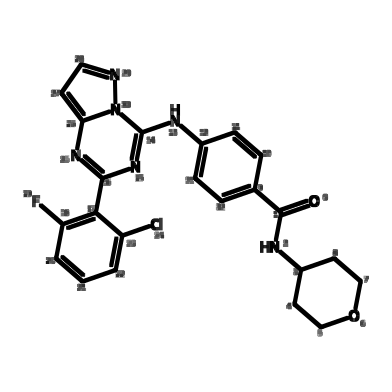 O=C(NC1CCOCC1)c1ccc(Nc2nc(-c3c(F)cccc3Cl)nc3ccnn23)cc1